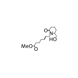 COC(=O)CCCC=CCN1C(=O)CCCC1CO